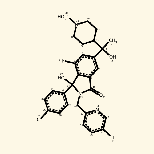 CC(O)(c1cc(F)c2c(c1)C(=O)N(Cc1ccc(Cl)cn1)C2(O)c1ccc(Cl)cc1)C1CCN(C(=O)O)CC1